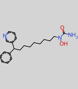 NC(=O)N(O)CCCCCCCCC(c1ccccc1)c1cccnc1